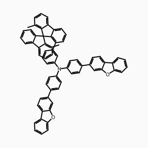 Cc1cccc2c1C1(c3ccccc3-2)c2c(C)cccc2-c2cccc(-c3cccc(N(c4ccc(-c5ccc6c(c5)oc5ccccc56)cc4)c4ccc(-c5ccc6c(c5)oc5ccccc56)cc4)c3)c21